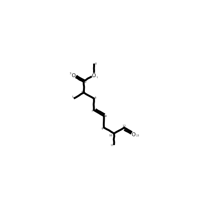 COC(=O)C(C)CC=CCC(C)C=O